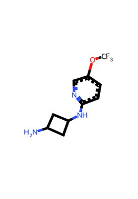 NC1CC(Nc2ccc(OC(F)(F)F)cn2)C1